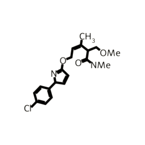 CNC(=O)C(COC)/C(C)=C\COC1=NC(c2ccc(Cl)cc2)C=C1